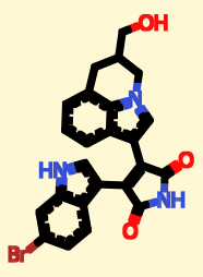 O=C1NC(=O)C(c2cn3c4c(cccc24)CC(CO)C3)=C1c1c[nH]c2cc(Br)ccc12